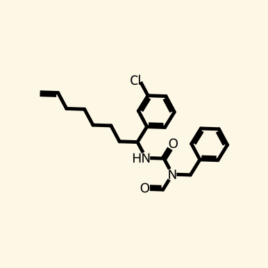 C=CCCCCCC(NC(=O)N(C=O)Cc1ccccc1)c1cccc(Cl)c1